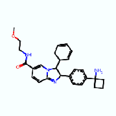 COCCNC(=O)C1=CN2C(=NC(c3ccc(C4(N)CCC4)cc3)C2C2C=CC=CC2)C=C1